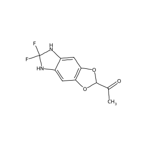 CC(=O)C1Oc2cc3c(cc2O1)NC(F)(F)N3